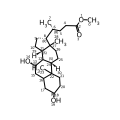 COC(=O)CC[C@@H](C)[C@H]1CC[C@H]2C3[C@H](O)CC4C[C@H](O)CCC4(C)[C@H]3CCC12C